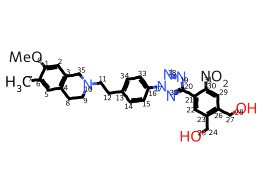 COc1cc2c(cc1C)CCN(CCc1ccc(-n3nnc(-c4cc(CO)c(CO)cc4[N+](=O)[O-])n3)cc1)C2